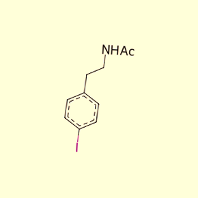 CC(=O)NCCc1ccc(I)cc1